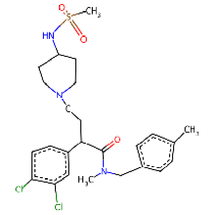 Cc1ccc(CN(C)C(=O)C(CCN2CCC(NS(C)(=O)=O)CC2)c2ccc(Cl)c(Cl)c2)cc1